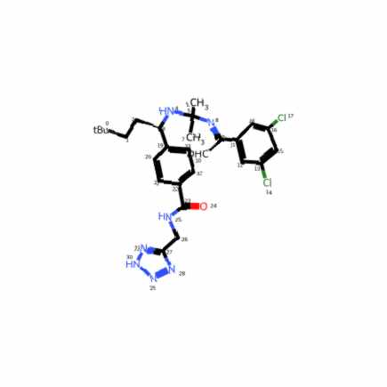 CC(C)(C)CC[C@@H](NC(C)(C)/N=C(\C=O)c1cc(Cl)cc(Cl)c1)c1ccc(C(=O)NCc2nn[nH]n2)cc1